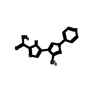 NC(=O)c1ncc(-c2cn(-c3ccncc3)nc2C(F)(F)F)[nH]1